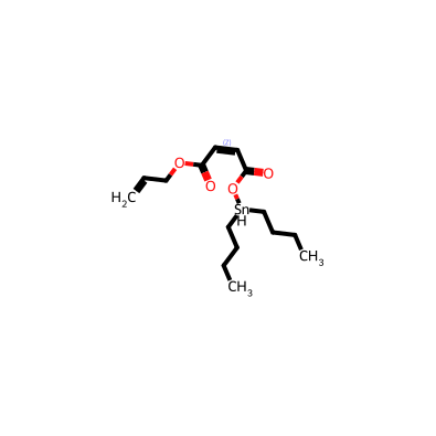 C=CCOC(=O)/C=C\C(=O)[O][SnH]([CH2]CCC)[CH2]CCC